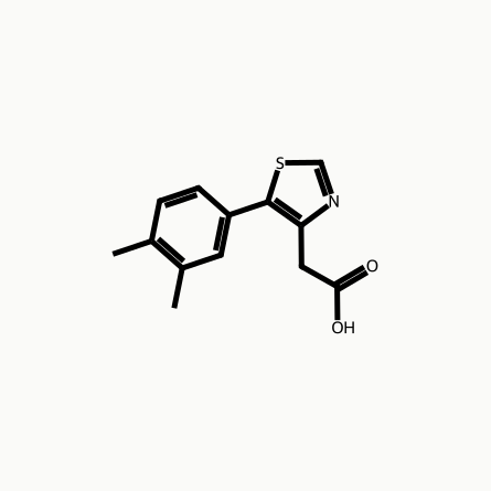 Cc1ccc(-c2scnc2CC(=O)O)cc1C